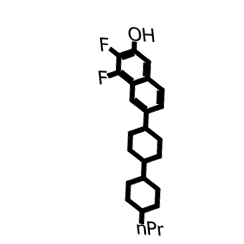 CCCC1CCC(C2CCC(c3ccc4cc(O)c(F)c(F)c4c3)CC2)CC1